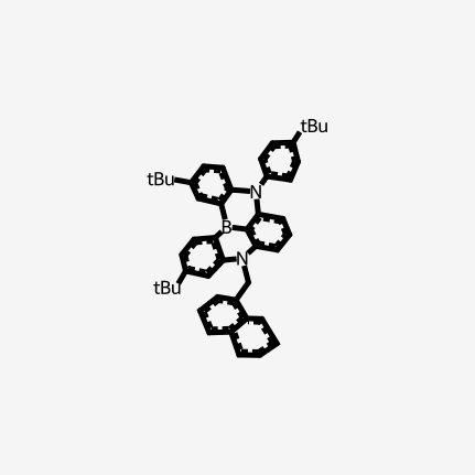 CC(C)(C)c1ccc(N2c3ccc(C(C)(C)C)cc3B3c4ccc(C(C)(C)C)cc4N(Cc4cccc5ccccc45)c4cccc2c43)cc1